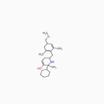 COCC1C=C(C)C(CC2CC=C(O)C(C)(C3CCCCC3)N2)=C(C)C1